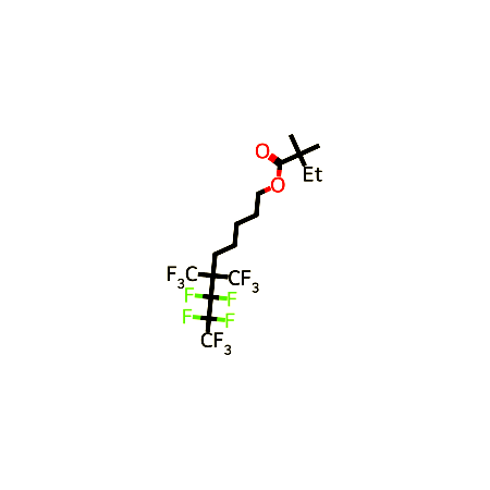 CCC(C)(C)C(=O)OCCCCCC(C(F)(F)F)(C(F)(F)F)C(F)(F)C(F)(F)C(F)(F)F